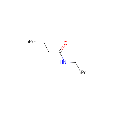 CC(C)CCC(=O)NCC(C)C